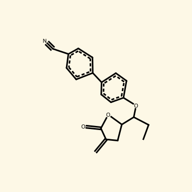 C=C1CC(C(CC)Oc2ccc(-c3ccc(C#N)cc3)cc2)OC1=O